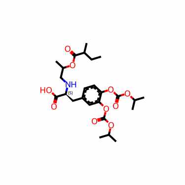 CCC(C)C(=O)OC(C)CN[C@@H](Cc1ccc(OC(=O)OC(C)C)c(OC(=O)OC(C)C)c1)C(=O)O